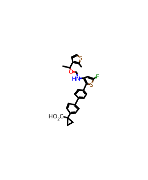 Cc1sccc1C(C)OCNc1cc(F)sc1-c1ccc(-c2ccc(C3(C(=O)O)CC3)cc2)cc1